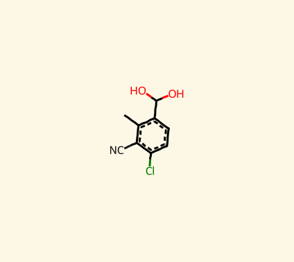 Cc1c(C(O)O)ccc(Cl)c1C#N